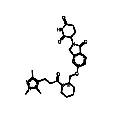 Cc1nn(C)c(C)c1CCC(=O)N1CCCC[C@@H]1COc1ccc2c(c1)CN(C1CCC(=O)NC1=O)C2=O